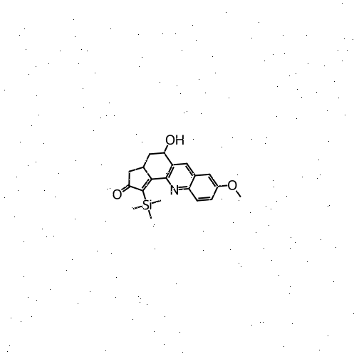 COc1ccc2nc3c(cc2c1)C(O)CC1CC(=O)C([Si](C)(C)C)=C31